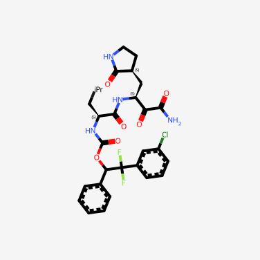 CC(C)C[C@H](NC(=O)OC(c1ccccc1)C(F)(F)c1cccc(Cl)c1)C(=O)N[C@@H](C[C@@H]1CCNC1=O)C(=O)C(N)=O